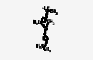 C=C(CCCN(CCCC)CCCCC1CC=C(CCC=C(C)C)CC1)C1CC=C(CCCC=C(C)C)CC1